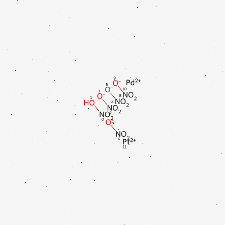 O=[N+]([O-])O.O=[N+]([O-])[O-].O=[N+]([O-])[O-].O=[N+]([O-])[O-].O=[N+]([O-])[O-].[Pd+2].[Pt+2]